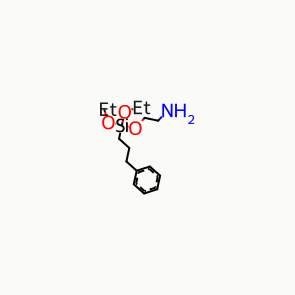 CCO[Si](CCCc1ccccc1)(OCC)OCCN